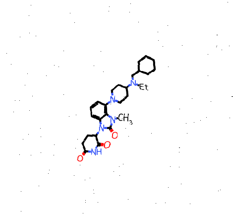 CCN(CC1CCCCC1)C1CCN(c2cccc3c2n(C)c(=O)n3C2CCC(=O)NC2=O)CC1